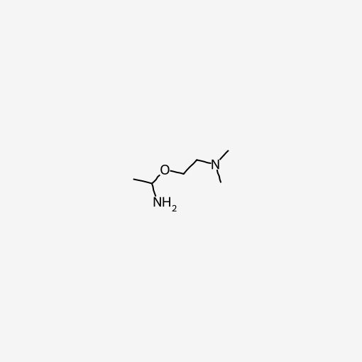 CC(N)OCCN(C)C